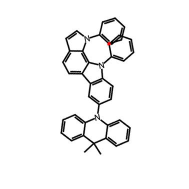 CC1(C)c2ccccc2N(c2ccc3c(c2)c2ccc4ccn(-c5ccccc5)c4c2n3-c2ccccc2)c2ccccc21